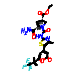 CCOC(=O)[C@H]1C[C@@H](C(N)=O)N(C(=O)Nc2nc(C)c(-c3cc(C(C)(C)C(F)(F)F)oc(=O)c3)s2)C1